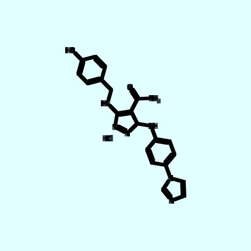 Cl.NC(=O)C1=C(NCc2ccc(O)cc2)N=NC1Nc1ccc(-n2ccnc2)cc1